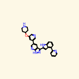 c1ccc(-c2cccc3[nH]c(-c4n[nH]c5ncc(-c6cncc(OC7CCNCC7)c6)cc45)cc23)nc1